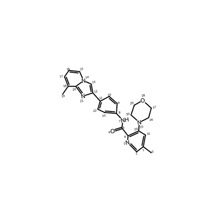 Cc1cnc(C(=O)Nc2ccc(-c3cn4cccc(C)c4n3)cc2)c(N2CCOCC2)c1